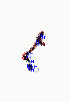 Nc1nc(N)c2nc(CCNc3ccc(C(=O)NC(CCC(=O)NCCOCCOCCOCCNC(=O)Cn4nc5c(c4-c4ccc(O)cc4)C(=O)c4c(NC(=O)NN6CCOCC6)cccc4-5)C(=O)O)cc3)cnc2n1